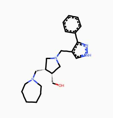 OC[C@H]1CN(Cc2c[nH]nc2-c2ccccc2)C[C@H]1CN1CCCCCC1